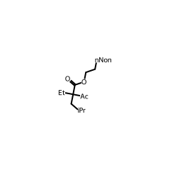 CCCCCCCCCCCOC(=O)C(CC)(CC(C)C)C(C)=O